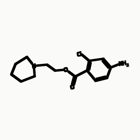 Nc1ccc(C(=O)OCCN2CCCCC2)c(Cl)c1